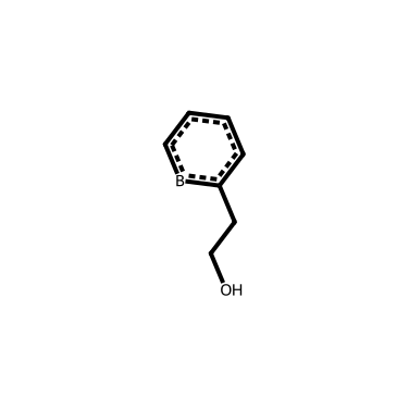 OCCc1bcccc1